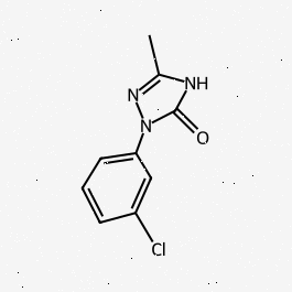 Cc1nn(-c2cccc(Cl)c2)c(=O)[nH]1